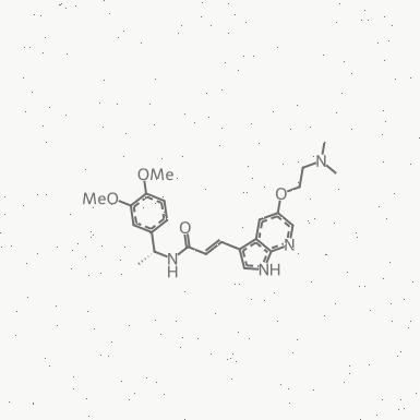 COc1ccc([C@@H](C)NC(=O)/C=C/c2c[nH]c3ncc(OCCN(C)C)cc23)cc1OC